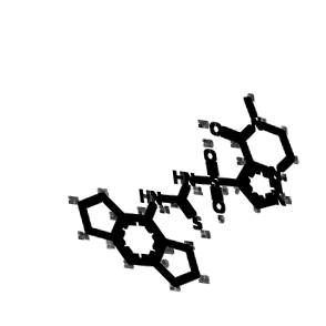 CN1CCn2ncc(S(=O)(=O)NC(=S)Nc3c4c(cc5c3CCC5)CCC4)c2C1=O